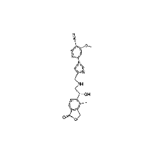 COc1cc(-n2cnc(CNC[C@H](O)c3ccc4c(c3C)COC4=O)c2)ncc1C#N